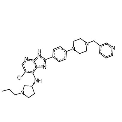 CCCN1CC[C@H](Nc2c(Cl)cnc3[nH]c(-c4ccc(N5CCN(Cc6cccnc6)CC5)cc4)nc23)C1